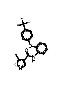 Cc1oncc1C(=O)Nc1ccccc1Oc1ccc(C(F)(F)F)cc1